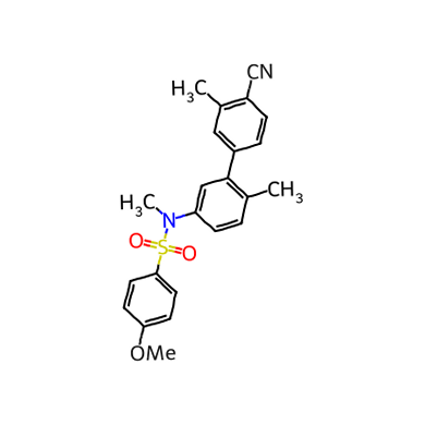 COc1ccc(S(=O)(=O)N(C)c2ccc(C)c(-c3ccc(C#N)c(C)c3)c2)cc1